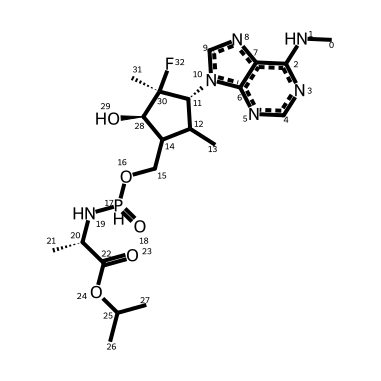 CNc1ncnc2c1ncn2[C@@H]1C(C)C(CO[PH](=O)N[C@@H](C)C(=O)OC(C)C)[C@@H](O)[C@@]1(C)F